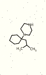 CC(C)CC1(N2CCNCC2)CCCCC1